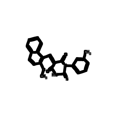 COc1ccc2ccccc2c1C=C1C(=O)NC(=S)N(c2cccc(C)c2)C1=O